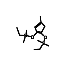 CC[Si](C)(C)OC1=C(O[Si](C)(C)CC)CC(C)=C1